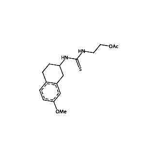 COc1ccc2c(c1)CC(NC(=S)NCCOC(C)=O)CC2